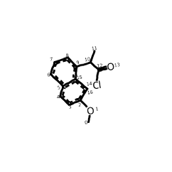 COc1ccc2cccc(C(C)C(=O)Cl)c2c1